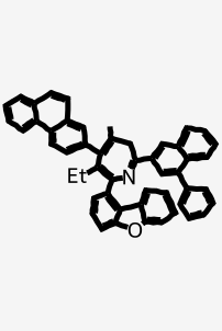 CCC1=C(c2cccc3oc4ccccc4c23)N=C(c2cc(-c3ccccc3)c3ccccc3c2)CC(C)=C1c1ccc2c(ccc3ccccc32)c1